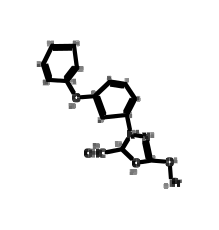 CC(C)OC1=NN(c2cccc(Oc3ccccc3)c2)C(C=O)O1